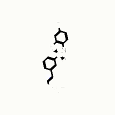 O=C(O)/C=C/c1cccc(S(=O)(=O)Nc2ccc(F)cc2F)c1